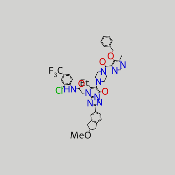 CCc1c(N2CCN(C(=O)c3ncnc(C)c3OCc3ccccc3)CC2)c(=O)n2nc(-c3ccc4c(c3)C[C@H](OC)C4)nc2n1CC(=O)Nc1ccc(C(F)(F)F)cc1Cl